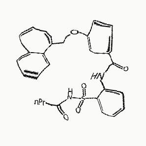 CCCC(=O)NS(=O)(=O)c1ccccc1NC(=O)c1cccc(OCc2cccc3ccccc23)c1